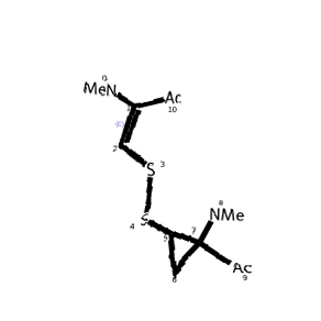 CN/C(=C/SSC1CC1(NC)C(C)=O)C(C)=O